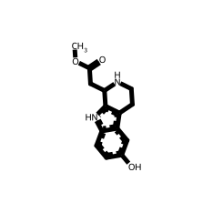 COC(=O)CC1NCCc2c1[nH]c1ccc(O)cc21